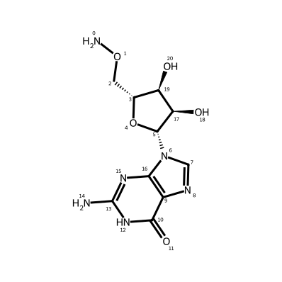 NOC[C@H]1O[C@@H](n2cnc3c(=O)[nH]c(N)nc32)[C@H](O)[C@@H]1O